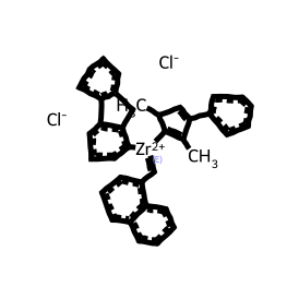 CC1=[C](/[Zr+2](=[CH]/c2cccc3ccccc23)[c]2cccc3c2Cc2ccccc2-3)C(C)C=C1c1ccccc1.[Cl-].[Cl-]